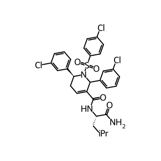 CC(C)C[C@H](NC(=O)C1=CC[C@@H](c2cccc(Cl)c2)N(S(=O)(=O)c2ccc(Cl)cc2)C1c1cccc(Cl)c1)C(N)=O